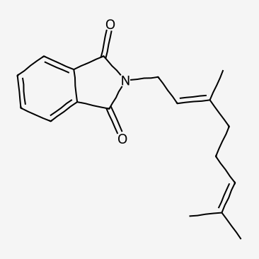 CC(C)=CCC/C(C)=C/CN1C(=O)c2ccccc2C1=O